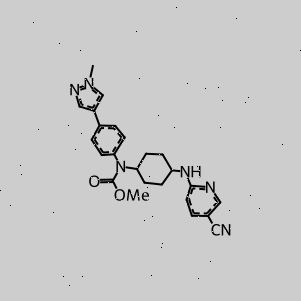 COC(=O)N(c1ccc(-c2cnn(C)c2)cc1)C1CCC(Nc2ccc(C#N)cn2)CC1